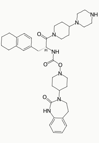 O=C(N[C@H](Cc1ccc2c(c1)CCCC2)C(=O)N1CCC(N2CCNCC2)CC1)ON1CCC(N2CCc3ccccc3NC2=O)CC1